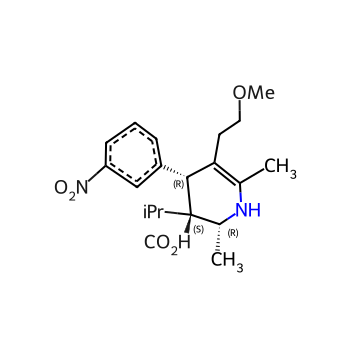 COCCC1=C(C)N[C@H](C)[C@](C(=O)O)(C(C)C)[C@@H]1c1cccc([N+](=O)[O-])c1